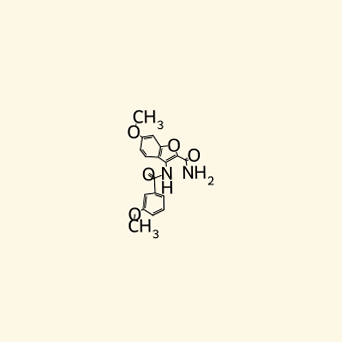 COc1cccc(C(=O)Nc2c(C(N)=O)oc3cc(OC)ccc23)c1